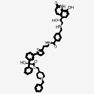 O=C(NCCc1ccc(-c2cccc([C@](O)(C(=O)OCC3CCN(Cc4ccccc4)CC3)c3ccccc3)c2)s1)c1ccc(CNC[C@H](O)c2ccc(O)c3[nH]c(=O)ccc23)cc1